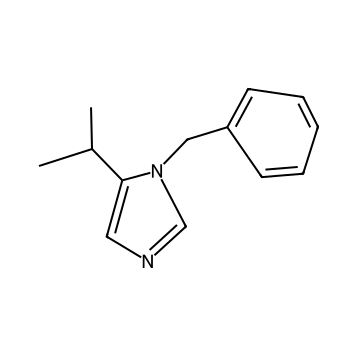 CC(C)c1cncn1Cc1ccccc1